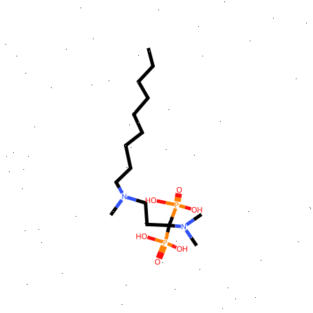 CCCCCCCCCN(C)CCC(N(C)C)(P(=O)(O)O)P(=O)(O)O